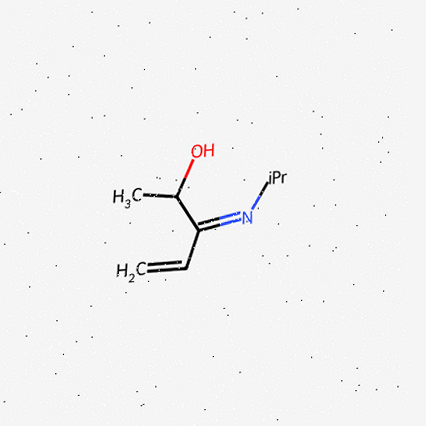 C=CC(=NC(C)C)C(C)O